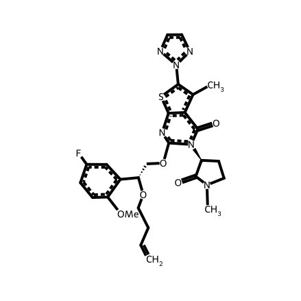 C=CCCO[C@@H](COc1nc2sc(-n3nccn3)c(C)c2c(=O)n1[C@H]1CCN(C)C1=O)c1cc(F)ccc1OC